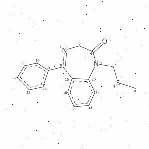 CSCN1C(=O)CN=C(c2ccccc2)c2ccccc21